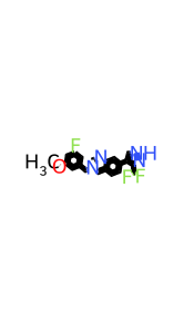 COc1cc(F)cc(CN2C=c3ccc(-c4c[nH]nc4C(F)F)cc3=NC2)c1